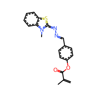 C=C(C)C(=O)Oc1ccc(C=NN=c2sc3ccccc3n2C)cc1